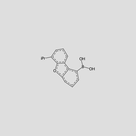 CC(C)c1cccc2c1oc1cccc(B(O)O)c12